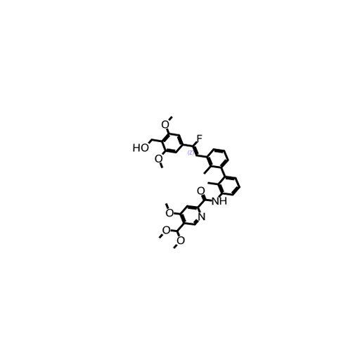 COc1cc(C(=O)Nc2cccc(-c3cccc(/C=C(\F)c4cc(OC)c(CO)c(OC)c4)c3C)c2C)ncc1C(OC)OC